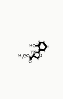 COC(=O)C1COC(c2ccccc2O)N1